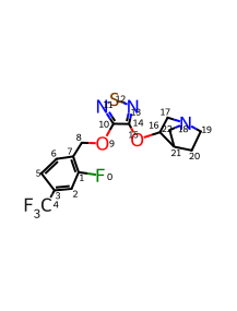 Fc1cc(C(F)(F)F)ccc1COc1nsnc1OC1CN2CCC1C2